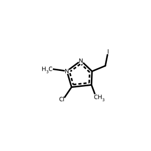 Cc1c(CI)nn(C)c1Cl